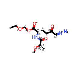 CCOCOC(=O)[C@H](CCC(=O)C=[N+]=[N-])NC(=O)[C@@H](C)OC